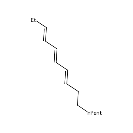 [CH2]CC=CC=CC=CCCCCCCC